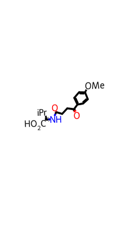 COc1ccc(C(=O)CCC(=O)N[C@H](C(=O)O)C(C)C)cc1